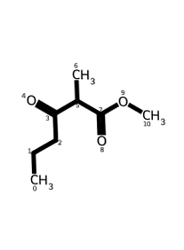 CCCC(=O)C(C)C(=O)OC